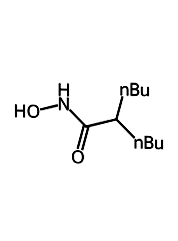 CCCCC(CCCC)C(=O)NO